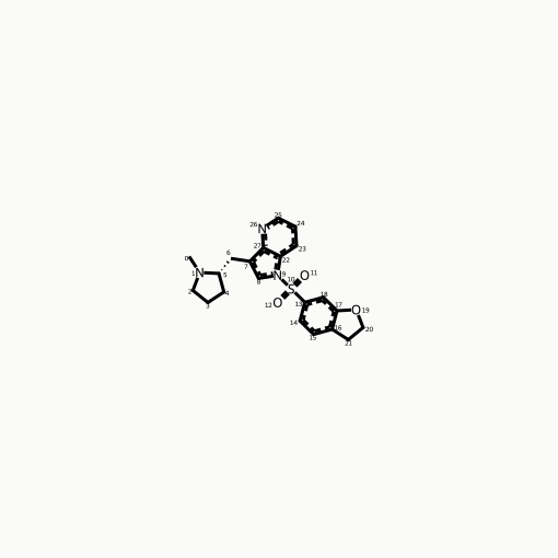 CN1CCC[C@H]1Cc1cn(S(=O)(=O)c2ccc3c(c2)OCC3)c2cccnc12